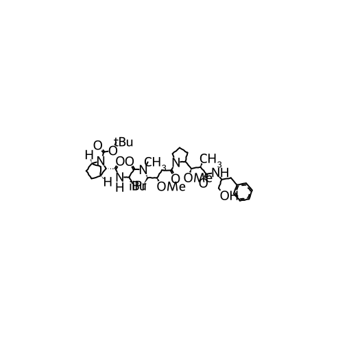 CC[C@H](C)[C@@H]([C@@H](CC(=O)N1CCCC1[C@H](OC)[C@@H](C)C(=O)NC(CO)Cc1ccccc1)OC)N(C)C(=O)C(NC(=O)[C@@H]1[C@H]2CC[C@H](C2)N1C(=O)OC(C)(C)C)C(C)C